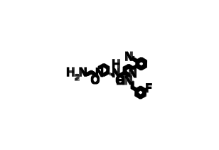 N#Cc1ccccc1-c1ccc(C(=O)NC[C@H]2CCCN(C(=O)CCN)C2)c(NCCc2cccc(F)c2)n1